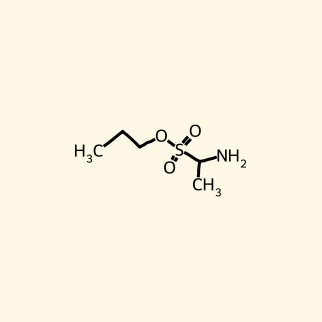 CCCOS(=O)(=O)C(C)N